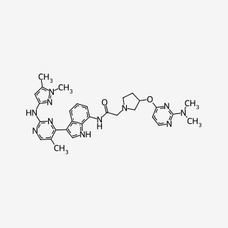 Cc1cnc(Nc2cc(C)n(C)n2)nc1-c1c[nH]c2c(NC(=O)CN3CCC(Oc4ccnc(N(C)C)n4)C3)cccc12